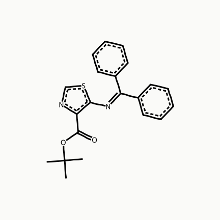 CC(C)(C)OC(=O)c1ncsc1N=C(c1ccccc1)c1ccccc1